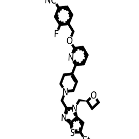 CCc1cc2c(nc(CN3CC=C(c4cccc(OCc5ccc(C#N)cc5F)n4)CC3)n2C[C@@H]2CCO2)s1